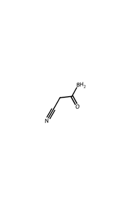 BC(=O)CC#N